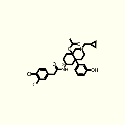 CC(=O)OC12CC[C@H](NC(=O)Cc3ccc(Cl)c(Cl)c3)CC1(c1cccc(O)c1)CCN(CC1CC1)C2